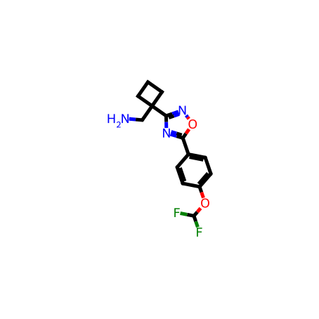 NCC1(c2noc(-c3ccc(OC(F)F)cc3)n2)CCC1